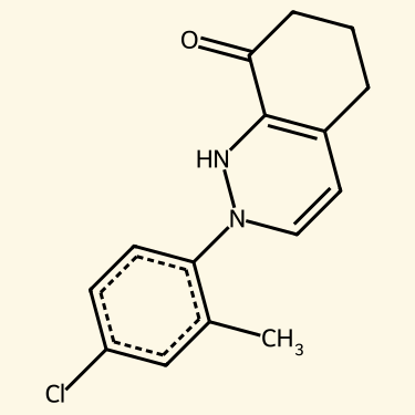 Cc1cc(Cl)ccc1N1C=CC2=C(N1)C(=O)CCC2